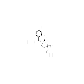 C=CCC1(C(C)C)CCN(C(C)c2ccc(Br)cc2)C(=O)O1